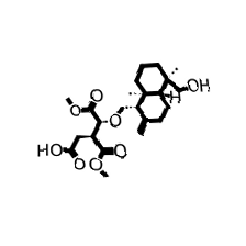 C=C1CC[C@H]2[C@](C)(CO)CCC[C@]2(C)[C@H]1CO[C@@H](C(=O)OC)[C@H](CC(=O)O)C(=O)OC